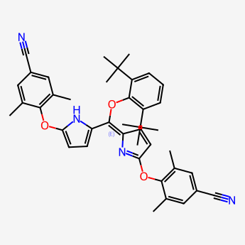 Cc1cc(C#N)cc(C)c1OC1=N/C(=C(/Oc2c(C(C)(C)C)cccc2C(C)(C)C)c2ccc(Oc3c(C)cc(C#N)cc3C)[nH]2)C=C1